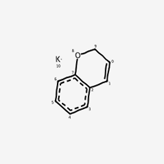 C1=Cc2ccccc2OC1.[K]